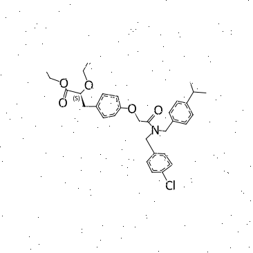 CCOC(=O)[C@H](Cc1ccc(OCC(=O)N(Cc2ccc(Cl)cc2)Cc2ccc(C(C)C)cc2)cc1)OCC